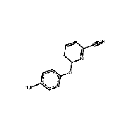 N#CC1=NC(Oc2ccc(N)cc2)CC=C1